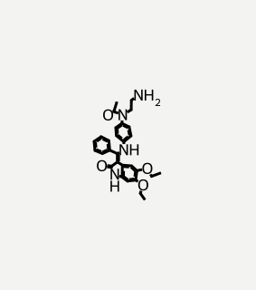 CCOc1cc2c(cc1OCC)C(=C(Nc1ccc(N(CCN)C(C)=O)cc1)c1ccccc1)C(=O)N2